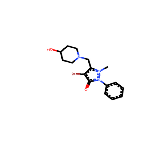 Cn1c(CN2CCC(O)CC2)c(Br)c(=O)n1-c1ccccc1